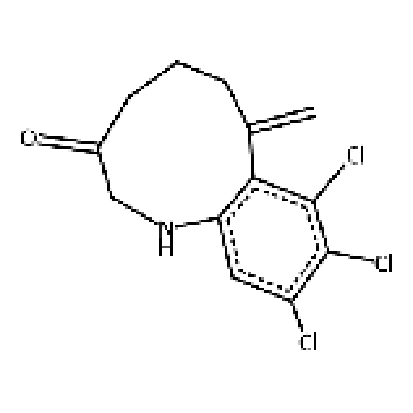 C=C1CCCC(=O)CNc2cc(Cl)c(Cl)c(Cl)c21